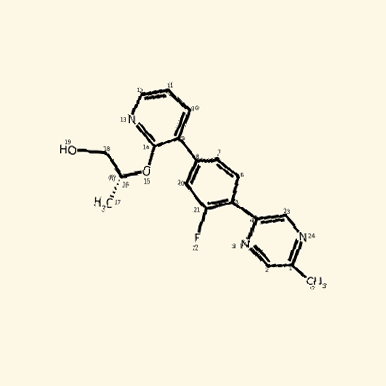 Cc1cnc(-c2ccc(-c3cccnc3O[C@H](C)CO)cc2F)cn1